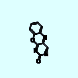 O=c1ncc2nc3ccccc3oc-2n1